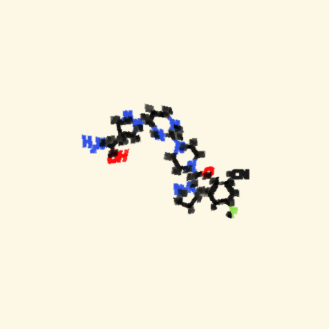 N#Cc1cc(F)cc([C@@H]2CC=NN2C(=O)N2CCN(c3nccc(-n4cc(C(N)O)cn4)n3)CC2)c1